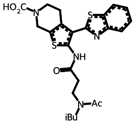 CCC(C)N(CCC(=O)Nc1sc2c(c1-c1nc3ccccc3s1)CCN(C(=O)O)C2)C(C)=O